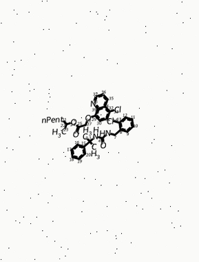 CC(C)(NC(=O)NCc1ccccc1Cl)c1ccccc1.CCCCCC(C)OC(=O)COc1ccc(Cl)c2cccnc12